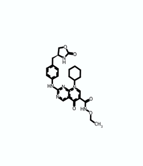 CCONC(=O)c1cn(C2CCCCC2)c2nc(Nc3ccc(C[C@H]4COC(=O)N4)cc3)ncc2c1=O